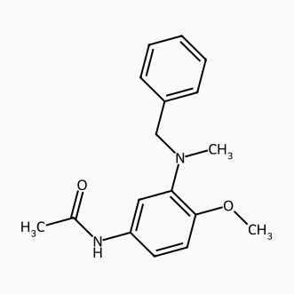 COc1ccc(NC(C)=O)cc1N(C)Cc1ccccc1